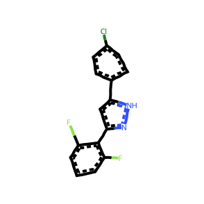 Fc1cccc(F)c1-c1cc(-c2ccc(Cl)cc2)[nH]n1